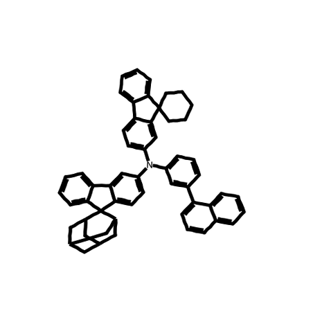 c1cc(-c2cccc3ccccc23)cc(N(c2ccc3c(c2)-c2ccccc2C32C3CC4CC(C3)CC2C4)c2ccc3c(c2)C2(CCCCC2)c2ccccc2-3)c1